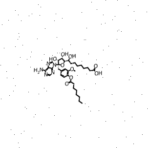 CCCCCCCC(=O)Oc1ccc(C[C@@]2(n3cnc4c(N)ncnc43)O[C@H](C(O)CCCCCCCC(=O)O)[C@@H](O)[C@H]2O)cc1OC